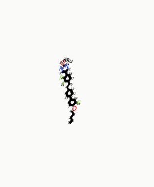 C=CCCCOc1ccc(-c2ccc(CCc3ccc(-c4cnc(OCCCC)nc4)c(F)c3F)cc2)cc1F